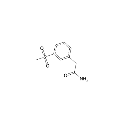 CS(=O)(=O)c1cccc(CC(N)=O)c1